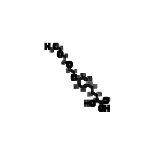 CCOCCOCCOc1ccc(CCC[C@H](O)C(=O)O)cc1